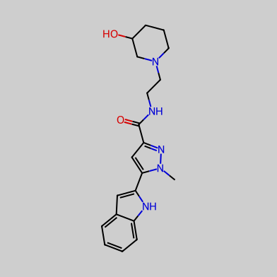 Cn1nc(C(=O)NCCN2CCCC(O)C2)cc1-c1cc2ccccc2[nH]1